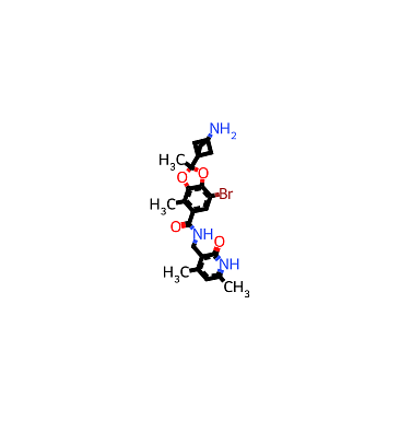 Cc1cc(C)c(CNC(=O)c2cc(Br)c3c(c2C)OC(C)(C24CC(N)(C2)C4)O3)c(=O)[nH]1